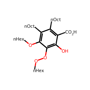 CCCCCCCCc1c(CCCCCCCC)c(C(=O)O)c(O)c(OOCCCCCC)c1OCCCCCC